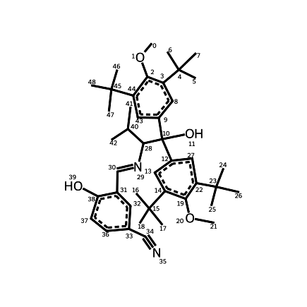 COc1c(C(C)(C)C)cc(C(O)(c2cc(C(C)(C)C)c(OC)c(C(C)(C)C)c2)C(N=Cc2cc(C#N)ccc2O)C(C)C)cc1C(C)(C)C